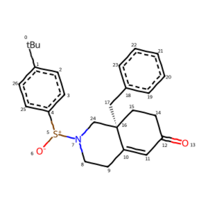 CC(C)(C)c1ccc([S+]([O-])N2CCC3=CC(=O)CC[C@]3(Cc3ccccc3)C2)cc1